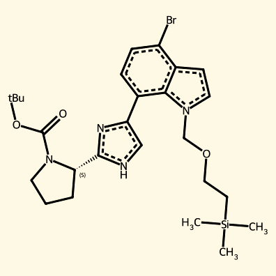 CC(C)(C)OC(=O)N1CCC[C@H]1c1nc(-c2ccc(Br)c3ccn(COCC[Si](C)(C)C)c23)c[nH]1